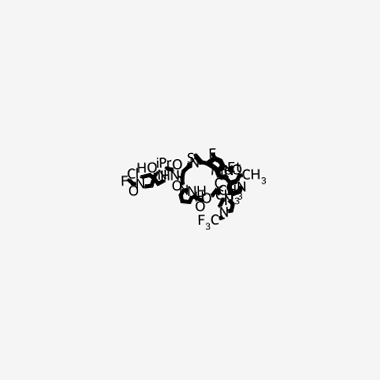 CCn1c(-c2cc(N3CCN(CC(F)(F)F)CC3)cnc2[C@H](C)OC)c2c3cc(c(F)cc31)-c1csc(n1)C[C@H](NC(=O)[C@H](C(C)C)N1CCC3(CCN(C(=O)[C@H](F)Cl)CC3)C1O)C(=O)N1CCC[C@H](N1)C(=O)OCC(C)(C)C2